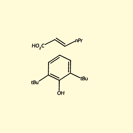 CC(C)(C)c1cccc(C(C)(C)C)c1O.CCCC=CC(=O)O